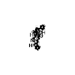 O=C(CC[C@H](Cc1c[nH]c2ccccc12)n1nncc1CNS(=O)(=O)c1ccc(-c2ccccc2)s1)NO